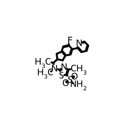 Cc1nc(N(C)C(C)C2Cc3cc(F)c(-c4ccccn4)cc3C2)sc1S(N)(=O)=O